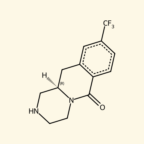 O=C1c2ccc(C(F)(F)F)cc2C[C@@H]2CNCCN12